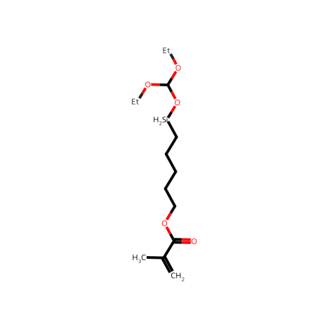 C=C(C)C(=O)OCCCCC[SiH2]OC(OCC)OCC